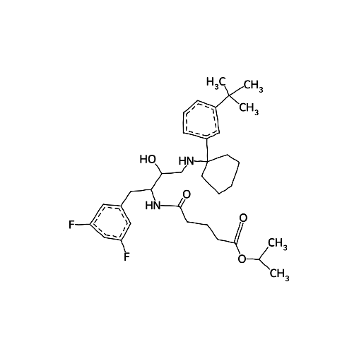 CC(C)OC(=O)CCCC(=O)NC(Cc1cc(F)cc(F)c1)C(O)CNC1(c2cccc(C(C)(C)C)c2)CCCCC1